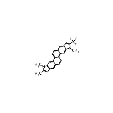 Cc1cc2cc3ccc4c5cc6c(cc(C(F)(F)F)n6C)cc5ccc4c3cc2n1C